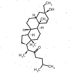 CC[C@]1(O)CC[C@@]2(C)[C@H](CC[C@@H]3[C@@H]2CC[C@]2(C)[C@@H]([C@H](C)C(=O)CCC(C)C)CC[C@@H]32)C1